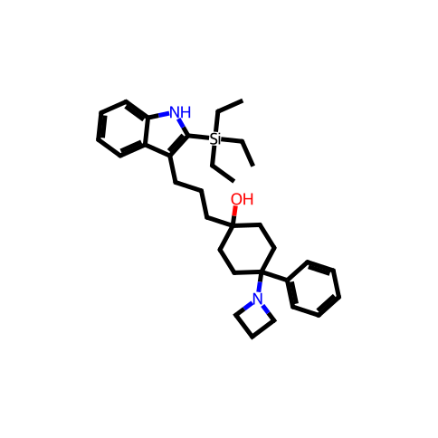 CC[Si](CC)(CC)c1[nH]c2ccccc2c1CCCC1(O)CCC(c2ccccc2)(N2CCC2)CC1